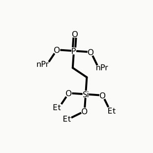 CCCOP(=O)(CC[Si](OCC)(OCC)OCC)OCCC